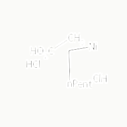 CC(=O)O.CCCCC[CH2][Ni].Cl.Cl